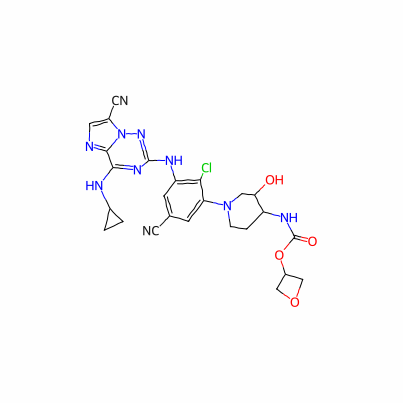 N#Cc1cc(Nc2nc(NC3CC3)c3ncc(C#N)n3n2)c(Cl)c(N2CCC(NC(=O)OC3COC3)C(O)C2)c1